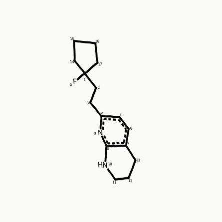 FC1(CCc2ccc3c(n2)NCCC3)CCCC1